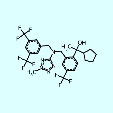 Cn1nnc(N(Cc2cc(C(F)(F)F)cc(C(F)(F)F)c2)Cc2cc(C(F)(F)F)ccc2C(C)(O)C2CCCC2)n1